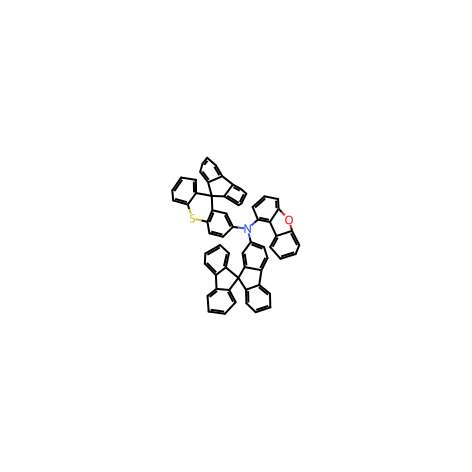 c1ccc2c(c1)Sc1ccc(N(c3ccc4c(c3)C3(c5ccccc5-c5ccccc53)c3ccccc3-4)c3cccc4oc5ccccc5c34)cc1C21c2ccccc2-c2ccccc21